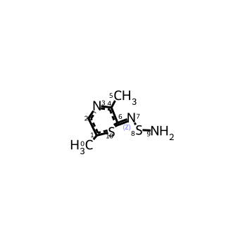 Cc1cnc(C)/c(=N/SN)s1